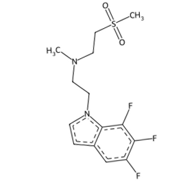 CN(CCn1ccc2cc(F)c(F)c(F)c21)CCS(C)(=O)=O